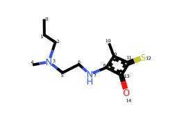 CCCN(C)CCNc1c(C)c(=S)c1=O